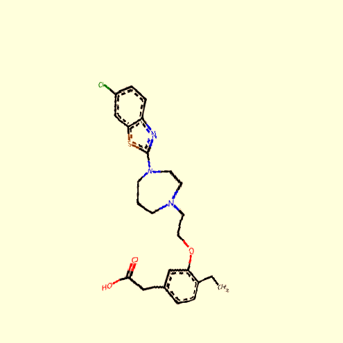 CCc1ccc(CC(=O)O)cc1OCCN1CCCN(c2nc3ccc(Cl)cc3s2)CC1